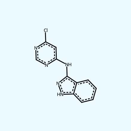 Clc1cc(Nc2n[nH]c3ccccc23)ncn1